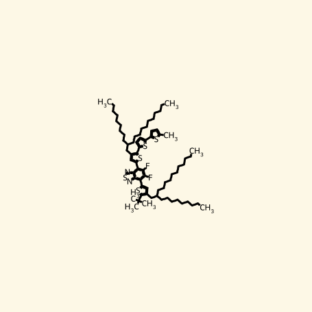 CCCCCCCCCCCC(CCCCCCCCC)Cc1cc(-c2c(F)c(F)c(-c3cc(CC(CCCCCCCCC)CCCCCCCCCCC)c(C(C)(C)C)s3)c3nsnc23)sc1-c1ccc(-c2ccc(C)s2)s1